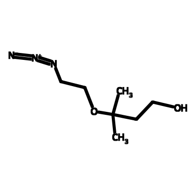 CC(C)(CCO)OCCN=[N+]=[N-]